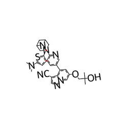 CN(C)c1ccc(CN2C3CC2CN(c2ccc(-c4cc(OCC(C)(C)O)cn5ncc(C#N)c45)cn2)C3)s1